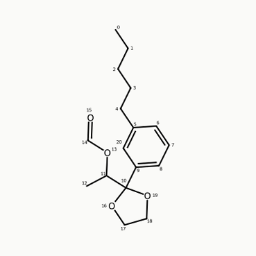 CCCCCc1cccc(C2(C(C)OC=O)OCCO2)c1